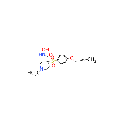 CC#CCOc1ccc(S(=O)(=O)C2(C(=O)NO)CCN(C(=O)O)CC2)cc1